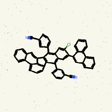 N#Cc1cccc(-c2c3c(c(-c4cccc(C#N)c4)c4cc(-c5cc6ccccc6c6ccccc56)c(Cl)cc24)-c2cccc4c2c-3cc2ccccc24)c1